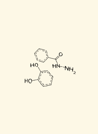 NNC(=O)c1ccccc1.Oc1ccccc1O